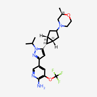 CC(C)n1nc(-c2cnc(N)c(OC(F)(F)F)c2)cc1[C@@H]1[C@@H]2CC(N3CCO[C@H](C)C3)C[C@@H]21